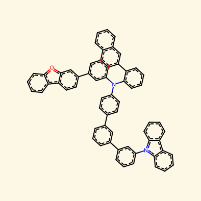 c1cc(-c2ccc(N(c3cccc(-c4ccc5c(c4)oc4ccccc45)c3)c3ccccc3-c3ccc4ccccc4c3)cc2)cc(-c2cccc(-n3c4ccccc4c4ccccc43)c2)c1